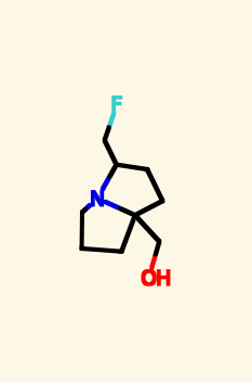 OCC12CCCN1C(CF)CC2